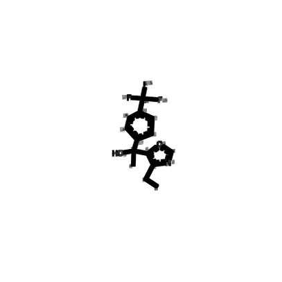 CCc1ncoc1C(C)(O)c1ccc(C(F)(F)F)cc1